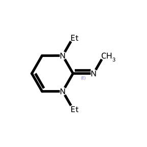 CCN1C=CCN(CC)/C1=N\C